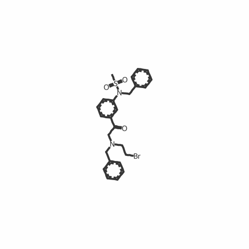 CS(=O)(=O)N(Cc1ccccc1)c1cccc(C(=O)CN(CCBr)Cc2ccccc2)c1